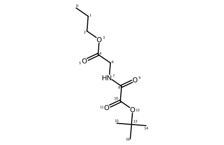 CCCOC(=O)CNC(=O)C(=O)OC(C)(C)C